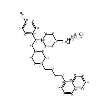 CN1CCN(C(CN2CCN(CCCCc3cccc4ccccc34)CC2)c2ccc(F)cc2)CC1.Cl.Cl.Cl.Cl